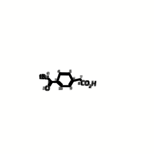 CC(C)(C)C(=O)c1ccc(CC(=O)O)cc1